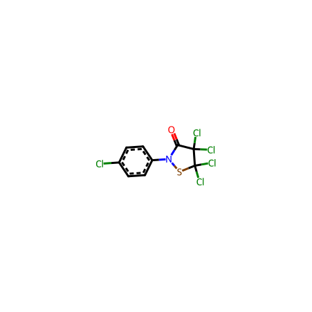 O=C1N(c2ccc(Cl)cc2)SC(Cl)(Cl)C1(Cl)Cl